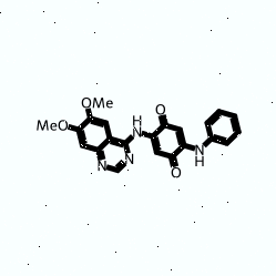 COc1cc2ncnc(NC3=CC(=O)C(Nc4ccccc4)=CC3=O)c2cc1OC